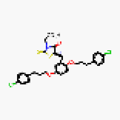 O=C(O)CN1C(=O)/C(=C/c2cc(OCCCc3ccc(Cl)cc3)ccc2OCCCc2ccc(Cl)cc2)SC1=S